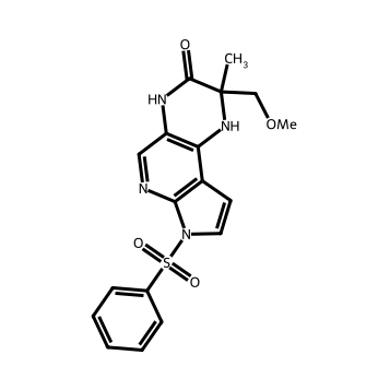 COCC1(C)Nc2c(cnc3c2ccn3S(=O)(=O)c2ccccc2)NC1=O